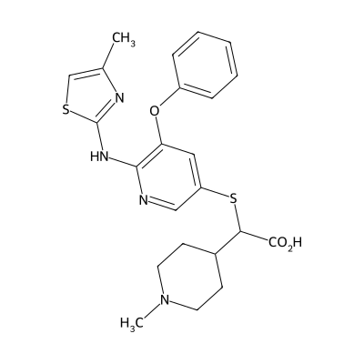 Cc1csc(Nc2ncc(SC(C(=O)O)C3CCN(C)CC3)cc2Oc2ccccc2)n1